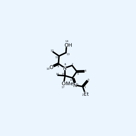 C=C(CC)/N=C1\C(=C)CN(C(=O)C(C)CO)C1(C)OC